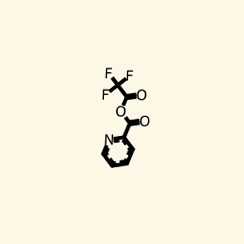 O=C(OC(=O)C(F)(F)F)c1ccccn1